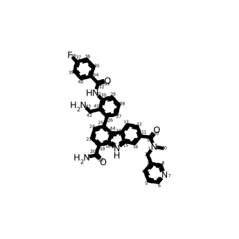 CN(Cc1cccnc1)C(=O)c1ccc2c(c1)[nH]c1c(C(N)=O)ccc(-c3cccc(NC(=O)c4ccc(F)cc4)c3CN)c12